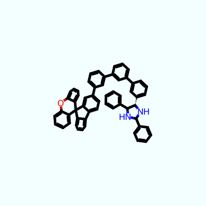 c1ccc(C2NC(c3ccccc3)[C@H](c3cccc(-c4cccc(-c5cccc(-c6ccc7c(c6)C6(c8ccccc8Oc8ccccc86)c6ccccc6-7)c5)c4)c3)N2)cc1